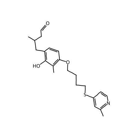 Cc1cc(SCCCCOc2ccc(CC(C)CC=O)c(O)c2C)ccn1